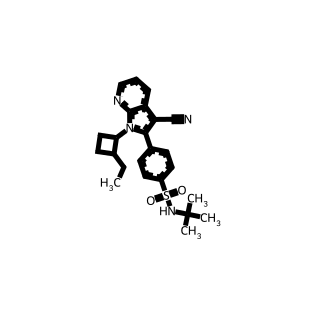 CCC1CCC1n1c(-c2ccc(S(=O)(=O)NC(C)(C)C)cc2)c(C#N)c2cccnc21